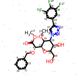 COC(=O)[C@@H](OCc1ccccc1)[C@@H]1OC(CO)[C@H](O)C(n2cc(-c3cc(F)c(F)c(F)c3)nn2)C1OC